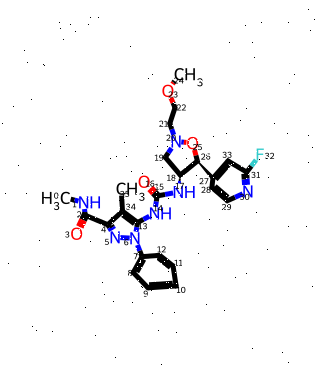 CNC(=O)c1nn(-c2ccccc2)c(NC(=O)N[C@@H]2CN(CCOC)O[C@H]2c2ccnc(F)c2)c1C